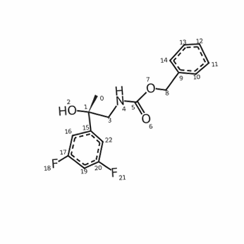 C[C@@](O)(CNC(=O)OCc1ccccc1)c1cc(F)cc(F)c1